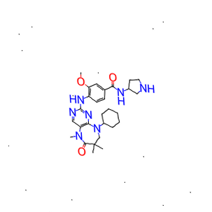 COc1cc(C(=O)NC2CCNC2)ccc1Nc1ncc2c(n1)N(C1CCCCC1)CC(C)(C)C(=O)N2C